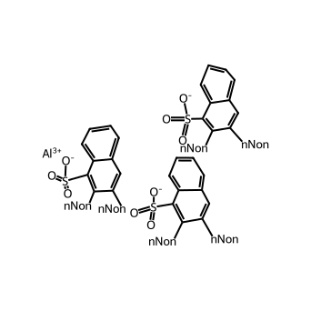 CCCCCCCCCc1cc2ccccc2c(S(=O)(=O)[O-])c1CCCCCCCCC.CCCCCCCCCc1cc2ccccc2c(S(=O)(=O)[O-])c1CCCCCCCCC.CCCCCCCCCc1cc2ccccc2c(S(=O)(=O)[O-])c1CCCCCCCCC.[Al+3]